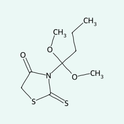 CCCC(OC)(OC)N1C(=O)CSC1=S